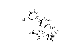 C[C@]12CCO[C@H]1[C@]1(COC(N)=N1)c1cc(-c3cncc(F)c3)ccc1O2